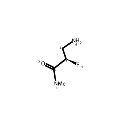 CNC(=O)[C@H](F)CN